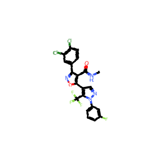 CNC(=O)c1c(-c2ccc(Cl)c(Cl)c2)noc1-c1cnn(-c2cccc(F)c2)c1C(F)(F)F